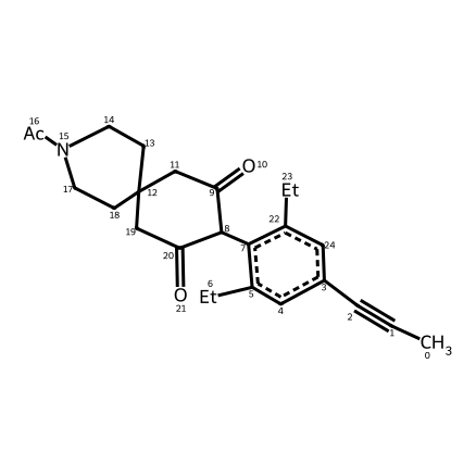 CC#Cc1cc(CC)c(C2C(=O)CC3(CCN(C(C)=O)CC3)CC2=O)c(CC)c1